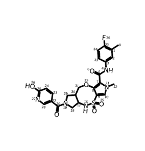 Cc1cc(NC(=O)c2c3c(cn2C)S(=O)(=O)NC2CN(C(=O)c4ccc(O)nc4)CC2CO3)ccc1F